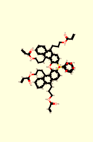 C=CC(=O)OCCCc1c2ccccc2c(CCCOC(=O)C=C)c2c(Oc3c(Sc4ccccc4)ccc4c(CCCOC(=O)C=C)c5ccccc5c(CCCOC(=O)C=C)c34)c(Sc3ccccc3)ccc12